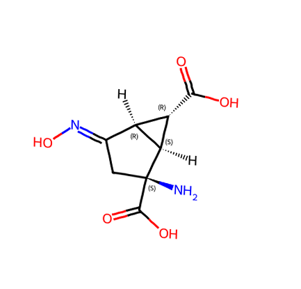 N[C@@]1(C(=O)O)CC(=NO)[C@H]2[C@H](C(=O)O)[C@H]21